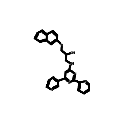 OC(CNc1cc(-c2cccnc2)nc(-c2ccccn2)n1)COc1ccc2ccccc2c1